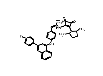 CC1CCC(C)N1c1c(NC(=Cc2ccc(Nc3nc(-c4ccc(F)cc4)cc4ccccc34)cc2)C(=O)O)c(=O)c1=O